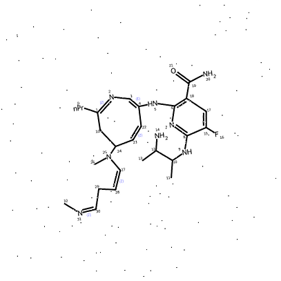 CCC/C1=N/C=C(Nc2nc(NC(C)C(C)N)c(F)cc2C(N)=O)\C=C/C(N(C)/C=C\C/C=N\C)C1